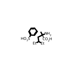 CCC(CC)C[C@](C)(N)C(=O)O.O=S(=O)(O)c1ccccc1